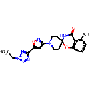 Cc1cccc2c1C(=O)NC1(CCN(c3cc(-c4nnn(CC(=O)O)n4)on3)CC1)O2